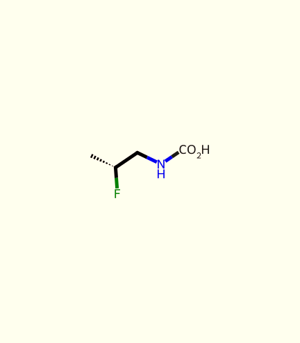 C[C@@H](F)CNC(=O)O